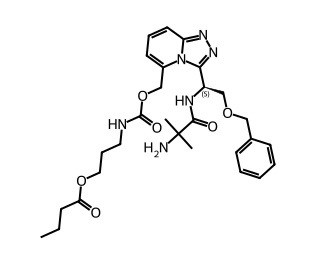 CCCC(=O)OCCCNC(=O)OCc1cccc2nnc([C@@H](COCc3ccccc3)NC(=O)C(C)(C)N)n12